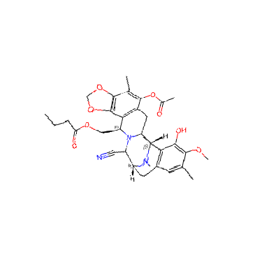 CCCC(=O)OC[C@H]1c2c(c(OC(C)=O)c(C)c3c2OCO3)CC2[C@@H]3c4c(cc(C)c(OC)c4O)C[C@H](C(C#N)N21)N3C